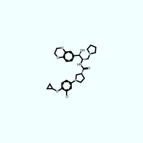 O=C(N[C@H](CN1CCCC1)[C@H](O)c1ccc2c(c1)OCCO2)[C@H]1CCN(c2ccc(OC3CC3)c(Cl)c2)C1